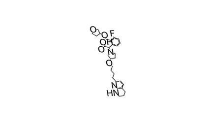 O=C(O)C(c1cccc(F)c1COC1CCOC1)N1CCC(OCCCCc2ccc3c(n2)NCCC3)C1